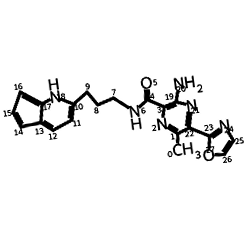 Cc1nc(C(=O)NCCCc2ccc3cccc-3[nH]2)c(N)nc1-c1ncco1